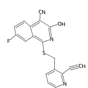 C#Cc1ncccc1CSc1nc(O)c(C#N)c2ccc(F)cc12